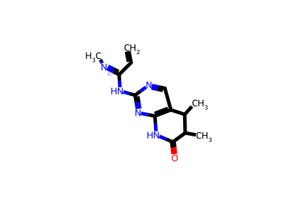 C=C/C(=N\C)Nc1ncc2c(n1)NC(=O)C(C)C2C